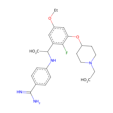 CCOc1cc(OC2CCN(CC(=O)O)CC2)c(F)c(C(Nc2ccc(C(=N)N)cc2)C(=O)O)c1